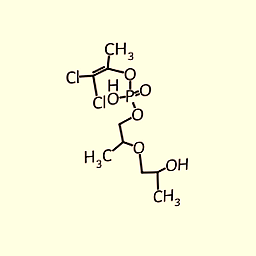 CC(OP(=O)(O)OCC(C)OCC(C)O)=C(Cl)Cl